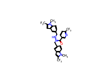 Cn1c(C(F)(F)F)cc2cc(CNN(Cc3ccc4c(c3)cc(C(F)(F)F)n4C)C(=O)c3ccc(C(F)(F)F)nc3)ccc21